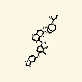 C=CC(=O)N1CCC2C[C@@H](C1)[C@H](c1ccc3ncnc(Nc4ccc(Oc5ccn6ncnc6c5)c(C)c4F)c3n1)C2